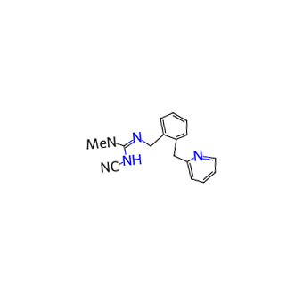 CNC(=NCc1ccccc1Cc1ccccn1)NC#N